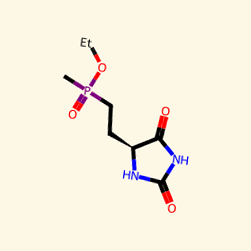 CCOP(C)(=O)CC[C@@H]1NC(=O)NC1=O